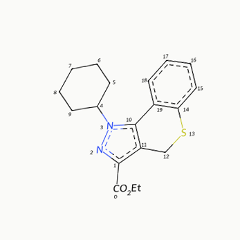 CCOC(=O)c1nn(C2CCCCC2)c2c1CSc1ccccc1-2